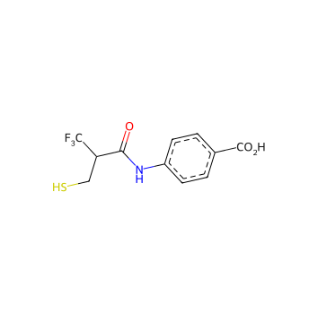 O=C(O)c1ccc(NC(=O)C(CS)C(F)(F)F)cc1